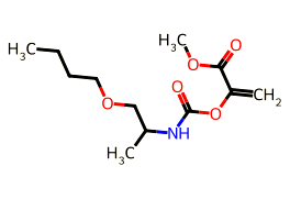 C=C(OC(=O)NC(C)COCCCC)C(=O)OC